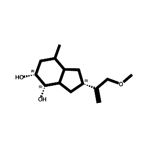 C=C(COC)[C@H]1CC2C(C)C[C@@H](O)[C@@H](O)C2C1